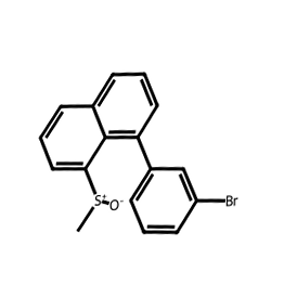 C[S+]([O-])c1cccc2cccc(-c3cccc(Br)c3)c12